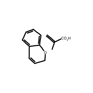 C1=Cc2ccccc2OC1.C=C(C)C(=O)O